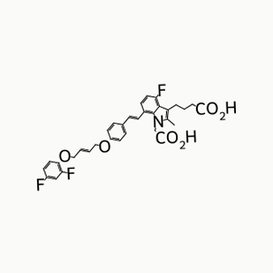 Cc1c(CCCC(=O)O)c2c(F)ccc(C=Cc3ccc(OC/C=C/COc4ccc(F)cc4F)cc3)c2n1CC(=O)O